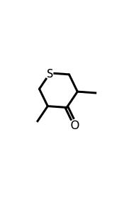 CC1CSCC(C)C1=O